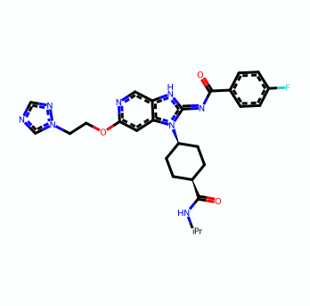 CC(C)NC(=O)[C@H]1CC[C@@H](n2/c(=N/C(=O)c3ccc(F)cc3)[nH]c3cnc(OCCn4cncn4)cc32)CC1